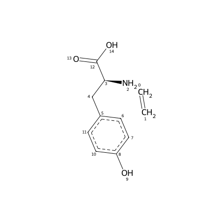 C=C.N[C@@H](Cc1ccc(O)cc1)C(=O)O